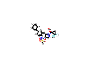 CS(=O)(=O)N[C@@H]1CCN(C(=O)C2CC2(F)F)[C@@H]1Cc1cccc(-c2ccccc2)c1